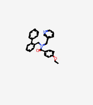 CCOc1ccc(C(=O)N(Cc2cccnc2)Cc2ccccc2-c2ccccc2)cc1